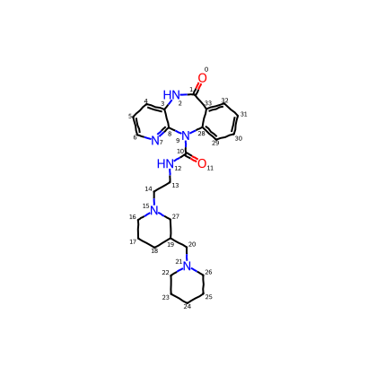 O=C1Nc2cccnc2N(C(=O)NCCN2CCCC(CN3CCCCC3)C2)c2ccccc21